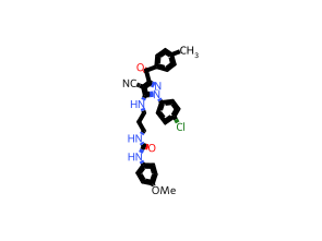 COc1ccc(NC(=O)NCCCNc2c(C#N)c(C(=O)c3ccc(C)cc3)nn2-c2ccc(Cl)cc2)cc1